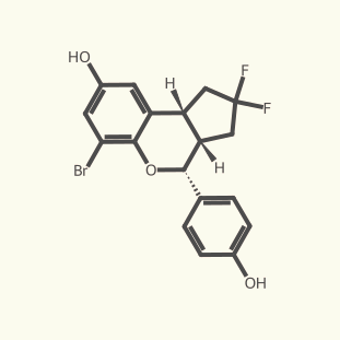 Oc1ccc([C@@H]2Oc3c(Br)cc(O)cc3[C@@H]3CC(F)(F)C[C@@H]32)cc1